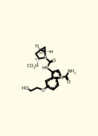 NC(=O)n1cc(NC(=O)N2[C@@H]3C[C@@H]3C[C@H]2C(=O)O)c2cc(OCCO)ccc21